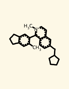 Cc1cc2c(cc1-c1c3ccc(CC4CCCC4)cc3cc[n+]1C)CCC2